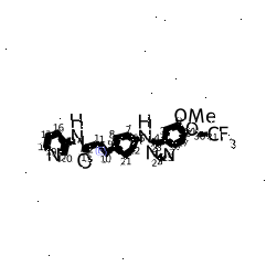 COc1cc2c(Nc3ccc(/C=C/C(=O)Nc4cccnc4)cc3)ncnc2cc1OCC(F)(F)F